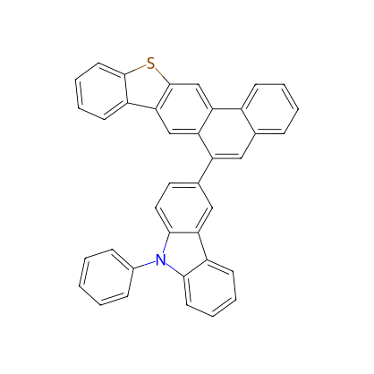 c1ccc(-n2c3ccccc3c3cc(-c4cc5ccccc5c5cc6sc7ccccc7c6cc45)ccc32)cc1